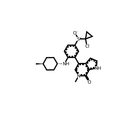 Cn1cc(-c2cc([S+]([O-])C3(Cl)CC3)ccc2N[C@H]2CC[C@H](C)CC2)c2cc[nH]c2c1=O